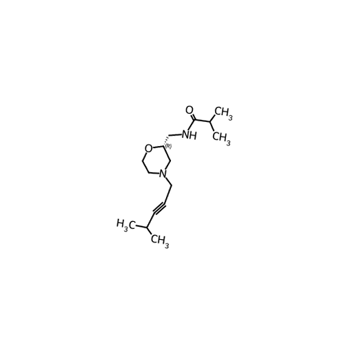 CC(C)C#CCN1CCO[C@H](CNC(=O)C(C)C)C1